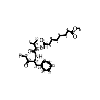 COC(=O)CCCCCCC(=O)N[C@H](C(=O)NC(Cc1ccccc1)C(=O)CF)C(C)C